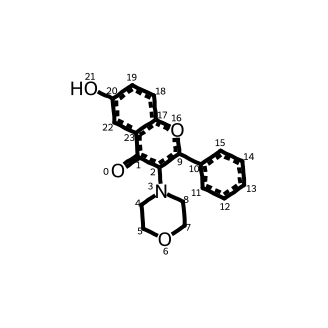 O=c1c(N2CCOCC2)c(-c2ccccc2)oc2ccc(O)cc12